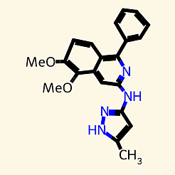 COc1ccc2c(-c3ccccc3)nc(Nc3cc(C)[nH]n3)cc2c1OC